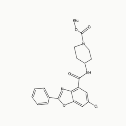 CC(C)(C)OC(=O)N1CCC(NC(=O)c2cc(Cl)cc3oc(-c4ccccc4)nc23)CC1